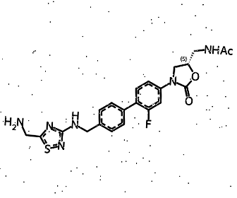 CC(=O)NC[C@H]1CN(c2ccc(-c3ccc(CNc4nsc(CN)n4)cc3)c(F)c2)C(=O)O1